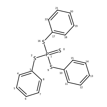 S=P(Sc1ccccc1)(Sc1ccccc1)Sc1ccccc1